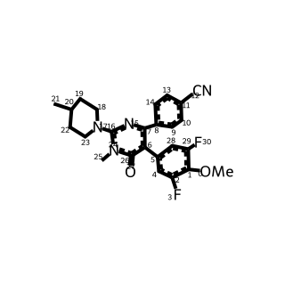 COc1c(F)cc(-c2c(-c3ccc(C#N)cc3)nc(N3CCC(C)CC3)n(C)c2=O)cc1F